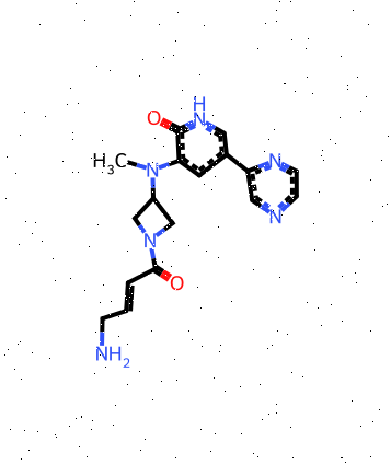 CN(c1cc(-c2cnccn2)c[nH]c1=O)C1CN(C(=O)C=CCN)C1